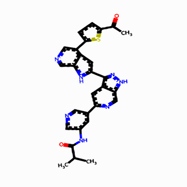 CC(=O)c1ccc(-c2cncc3[nH]c(-c4n[nH]c5cnc(-c6cncc(NC(=O)C(C)C)c6)cc45)cc23)s1